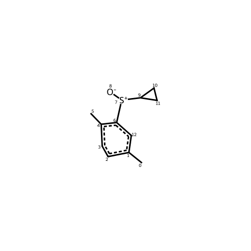 Cc1ccc(C)c([S+]([O-])C2CC2)c1